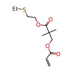 C=CC(=O)OCC(C)(C)C(=O)OCCSCC